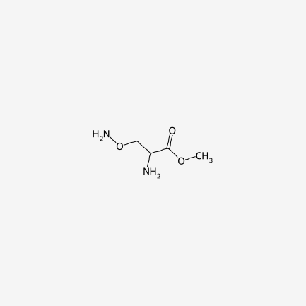 COC(=O)C(N)CON